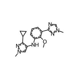 COc1c(Nc2cn(C)nc2C2CC2)cccc1-c1ncn(C)n1